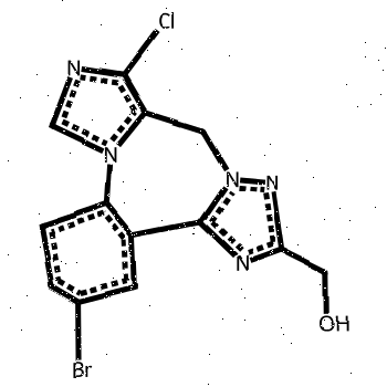 OCc1nc2n(n1)Cc1c(Cl)ncn1-c1ccc(Br)cc1-2